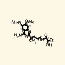 CCC(O)C(=O)NCCCN(C)c1nc(N)c2cc(OC)c(OC)cc2n1